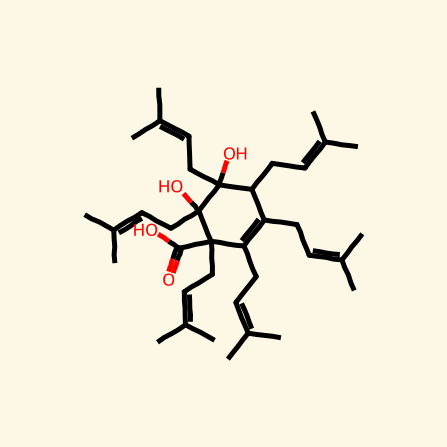 CC(C)=CCC1=C(CC=C(C)C)C(CC=C(C)C)(C(=O)O)C(O)(CC=C(C)C)C(O)(CC=C(C)C)C1CC=C(C)C